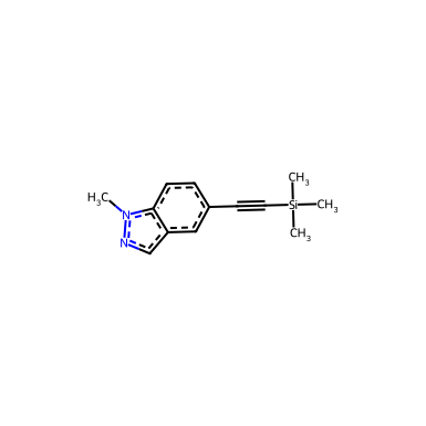 Cn1ncc2cc(C#C[Si](C)(C)C)ccc21